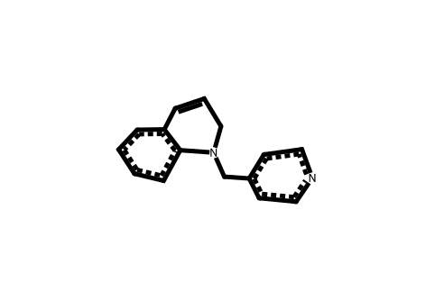 C1=Cc2ccccc2N(Cc2ccncc2)C1